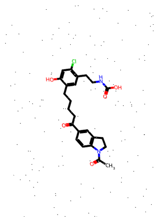 CC(=O)N1CCc2cc(C(=O)CCCCc3cc(CCNC(=O)O)c(Cl)cc3O)ccc21